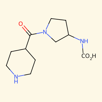 O=C(O)NC1CCN(C(=O)C2CCNCC2)C1